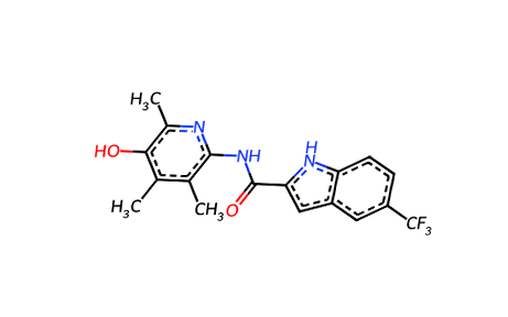 Cc1nc(NC(=O)c2cc3cc(C(F)(F)F)ccc3[nH]2)c(C)c(C)c1O